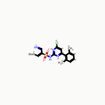 CN/C=C(\C=N)S(=O)(=O)Nc1nc(Cl)cc(-c2c(C)cccc2C)n1